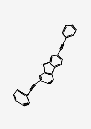 C(#Cc1ccc2c(c1)[CH]c1cc(C#Cc3ccccc3)ccc1-2)c1ccccc1